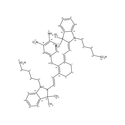 CC1(C)/C(=C\C=C2/CCCC(/C=C/C3N(CCCCS(=O)(=O)O)c4ccccc4C3(C)C)=C2Oc2ccc(N)c([N+](=O)[O-])c2)N(CCCCS(=O)(=O)O)c2ccccc21